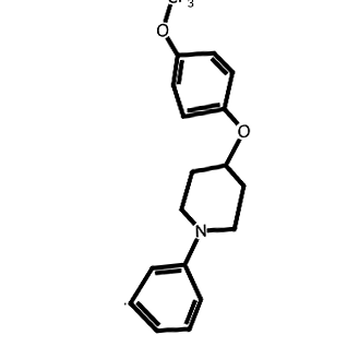 FC(F)(F)Oc1ccc(OC2CCN(c3c[c]ccc3)CC2)cc1